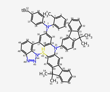 Cc1ccccc1N(c1ccc(C(C)(C)C)cc1)c1cc2c3c(c1)N(c1ccc4c(c1)-c1ccccc1C4(C)C)c1cc4c(cc1[SH]3n1nnc3cccc-2c31)C(C)(C)c1ccccc1-4